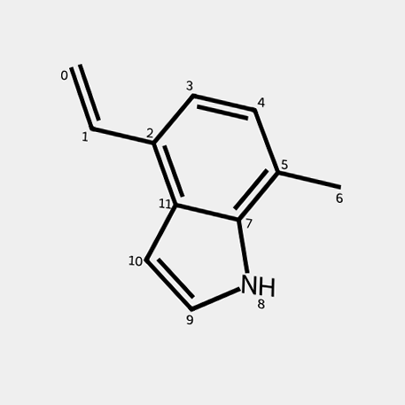 C=Cc1ccc(C)c2[nH]ccc12